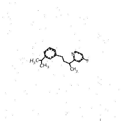 CC(C)c1cccc(CCC(C)c2cc(F)ccn2)c1